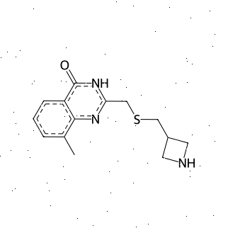 Cc1cccc2c(=O)[nH]c(CSCC3CNC3)nc12